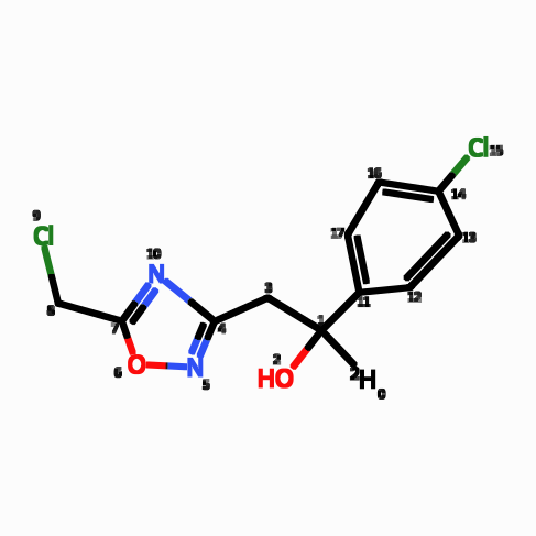 [2H]C(O)(Cc1noc(CCl)n1)c1ccc(Cl)cc1